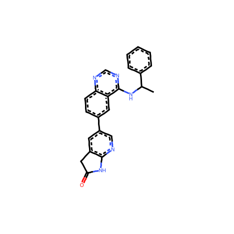 CC(Nc1ncnc2ccc(-c3cnc4c(c3)CC(=O)N4)cc12)c1ccccc1